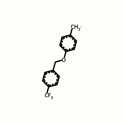 [CH2]c1ccc(OCc2ccc(C(F)(F)F)cc2)cc1